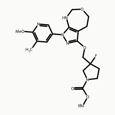 COc1ncc(-n2nc(OCC3(F)CCN(C(=O)OC(C)(C)C)C3)c3c2NCOCC3)cc1C